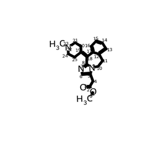 COC(=O)Cc1cnc2n1CCc1ccccc1C2=C1CCN(C)CC1